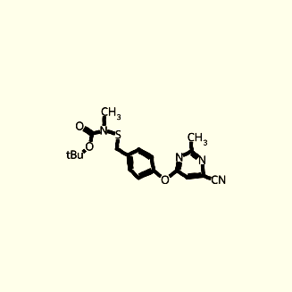 Cc1nc(C#N)cc(Oc2ccc(CSN(C)C(=O)OC(C)(C)C)cc2)n1